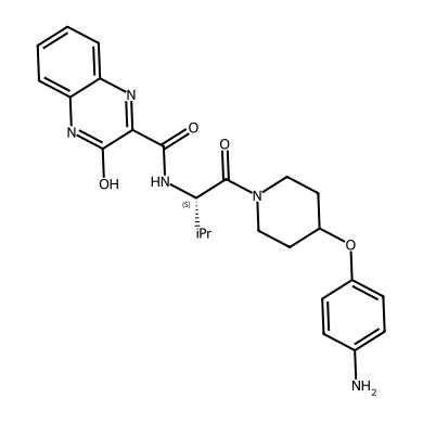 CC(C)[C@H](NC(=O)c1nc2ccccc2nc1O)C(=O)N1CCC(Oc2ccc(N)cc2)CC1